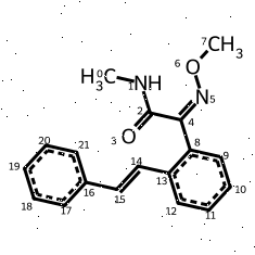 CNC(=O)/C(=N\OC)c1ccccc1/C=C/c1ccccc1